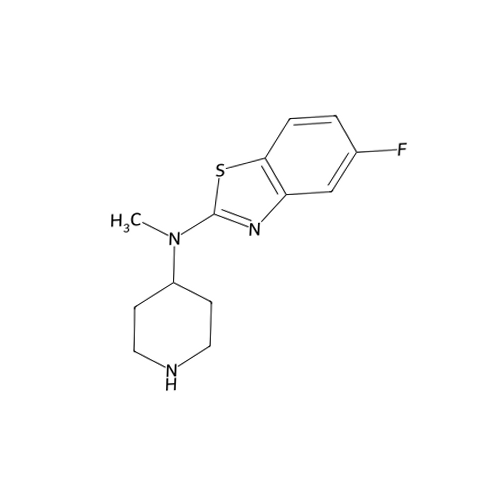 CN(c1nc2cc(F)ccc2s1)C1CCNCC1